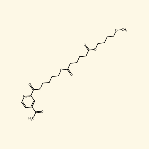 COCCCCOC(=O)CCCCC(=O)OCCCCOC(=O)c1cc(C(C)=O)ccn1